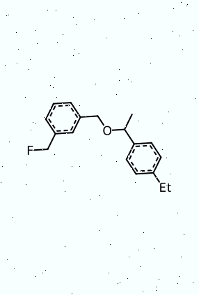 CCc1ccc(C(C)OCc2cccc(CF)c2)cc1